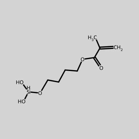 C=C(C)C(=O)OCCCCO[SiH](O)O